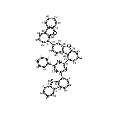 c1ccc(-c2nc(-c3cccc4c3sc3ccccc34)nc(-c3cccc4oc5cc(-c6cccc7c6oc6ccccc67)ccc5c34)n2)cc1